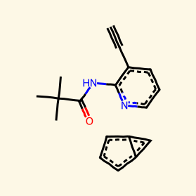 C#Cc1cccnc1NC(=O)C(C)(C)C.c1cc2cc-2c1